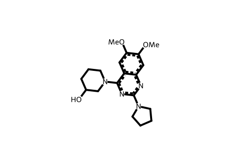 COc1cc2nc(N3CCCC3)nc(N3CCCC(O)C3)c2cc1OC